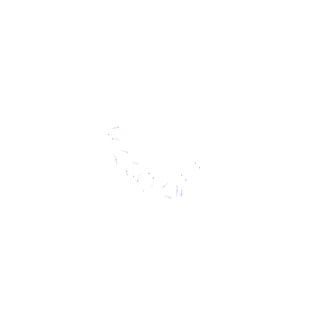 O=C(Nc1cc2cc(-c3ncc(Cl)s3)ccc2cn1)c1ccnc(N2CCN(I)CC2)c1